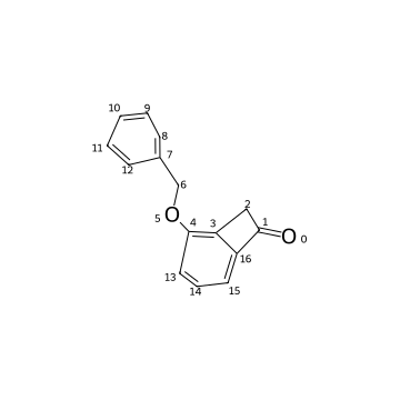 O=C1Cc2c(OCc3ccccc3)cccc21